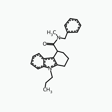 CCCn1c2c(c3ccccc31)C(C(=O)N(C)Cc1ccccc1)CCC2